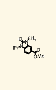 COC(=O)c1ccc2c(c1)n(C)c(=O)n2C(C)C